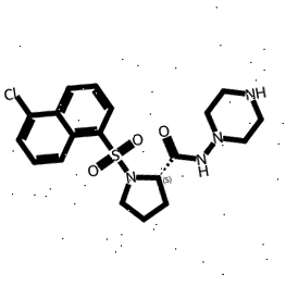 O=C(NN1CCNCC1)[C@@H]1CCCN1S(=O)(=O)c1cccc2c(Cl)cccc12